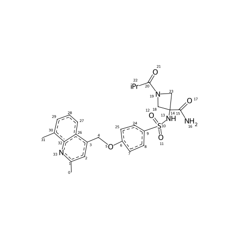 Cc1cc(COc2ccc(S(=O)(=O)NC3(C(N)=O)CN(C(=O)C(C)C)C3)cc2)c2cccc(C)c2n1